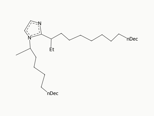 CCCCCCCCCCCCCCCCCC(CC)c1nccn1C(C)CCCCCCCCCCCCCC